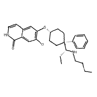 CCCCN[C@H](CC)[C@]1(c2ccccc2)CC[C@@H](Oc2cc3cc[nH]c(=O)c3cc2Cl)CC1